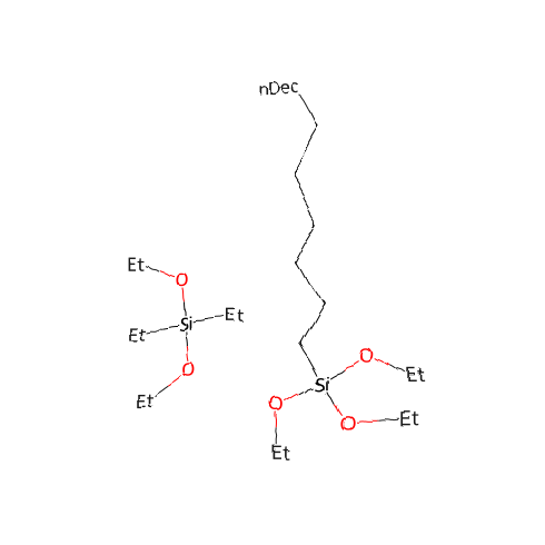 CCCCCCCCCCCCCCCC[Si](OCC)(OCC)OCC.CCO[Si](CC)(CC)OCC